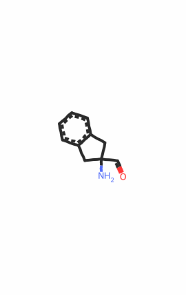 NC1(C=O)Cc2ccccc2C1